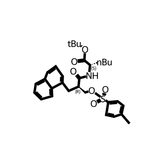 CCCC[C@H](NC(=O)[C@@H](COS(=O)(=O)c1ccc(C)cc1)Cc1cccc2ccccc12)C(=O)OC(C)(C)C